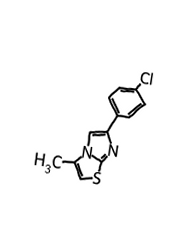 Cc1csc2nc(-c3ccc(Cl)cc3)cn12